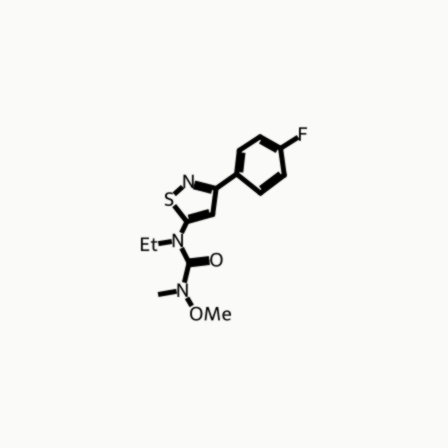 CCN(C(=O)N(C)OC)c1cc(-c2ccc(F)cc2)ns1